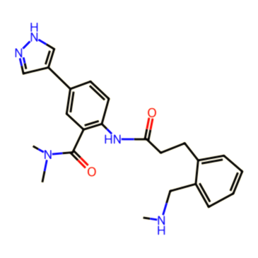 CNCc1ccccc1CCC(=O)Nc1ccc(-c2cn[nH]c2)cc1C(=O)N(C)C